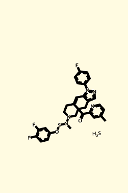 Cc1ccnc(C(=O)C23Cc4cnn(-c5ccc(F)cc5)c4C=C2CCN(N(C)SOc2ccc(F)c(F)c2)C3)c1.S